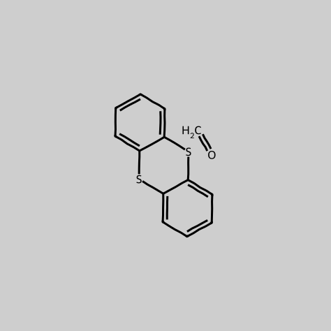 C=O.c1ccc2c(c1)Sc1ccccc1S2